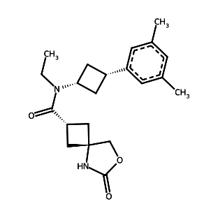 CCN(C(=O)[C@H]1C[C@]2(COC(=O)N2)C1)[C@H]1C[C@@H](c2cc(C)cc(C)c2)C1